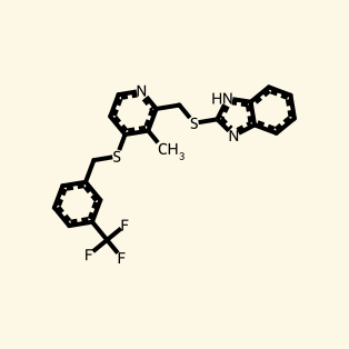 Cc1c(SCc2cccc(C(F)(F)F)c2)ccnc1CSc1nc2ccccc2[nH]1